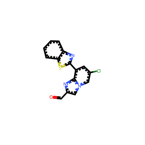 O=Cc1cn2cc(Cl)cc(-c3nc4ccccc4s3)c2n1